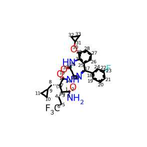 NC(=O)[C@H](CCC(F)(F)F)[C@H](CC1CC1)C(=O)N[C@H]1N=C(c2cccc(F)c2)c2cccc(OC3CC3)c2NC1=O